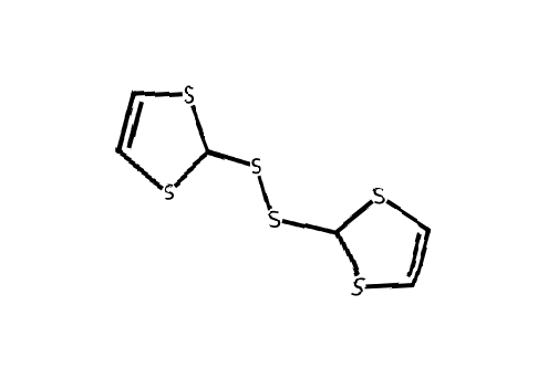 C1=CSC(SSC2SC=CS2)S1